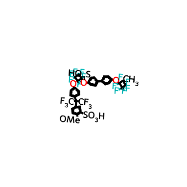 COc1ccc(C(c2ccc(OC3(F)C(F)(F)C(F)(F)C3(F)Oc3ccc(-c4ccc(OC5(F)C(C)(F)C(F)(F)C5(F)F)cc4)cc3S(=O)(=O)O)cc2)(C(F)(F)F)C(F)(F)F)cc1S(=O)(=O)O